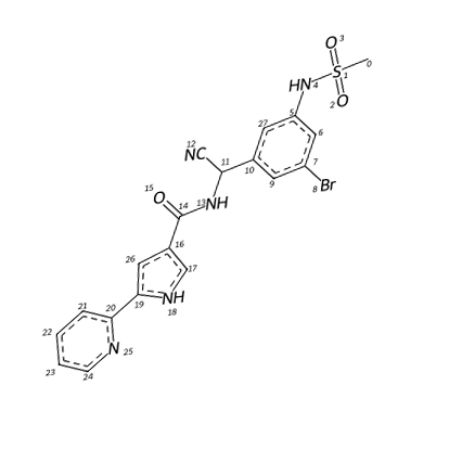 CS(=O)(=O)Nc1cc(Br)cc(C(C#N)NC(=O)c2c[nH]c(-c3ccccn3)c2)c1